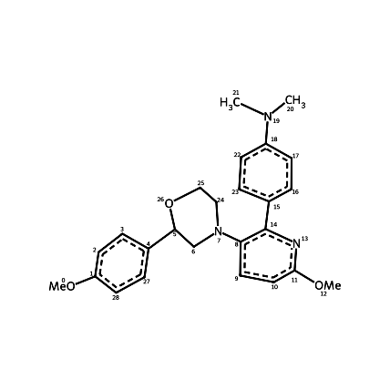 COc1ccc(C2CN(c3ccc(OC)nc3-c3ccc(N(C)C)cc3)CCO2)cc1